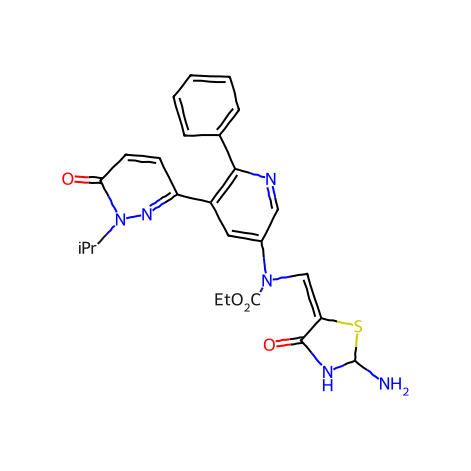 CCOC(=O)N(C=C1SC(N)NC1=O)c1cnc(-c2ccccc2)c(-c2ccc(=O)n(C(C)C)n2)c1